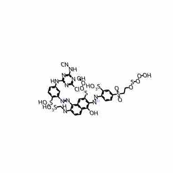 [C-]#[N+]Nc1nc(Cl)nc(Nc2ccc(S(=O)(=O)O)c(/N=N/c3c(NCS(=O)(=O)O)ccc4c(O)c(/N=N/c5ccc(S(=O)(=O)CCOSOOO)cc5S(=O)(=O)O)c(SOOO)cc34)c2)n1